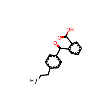 CCCc1ccc(C(=O)c2ccccc2C(=O)O)cc1